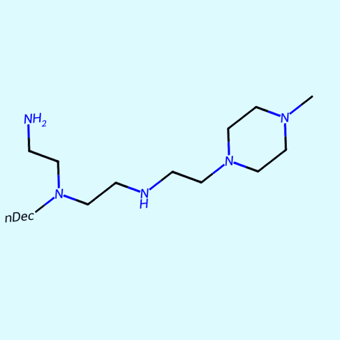 CCCCCCCCCCN(CCN)CCNCCN1CCN(C)CC1